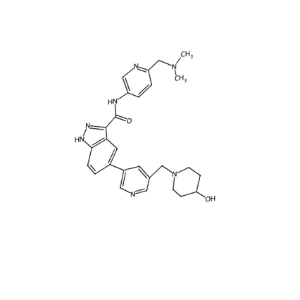 CN(C)Cc1ccc(NC(=O)c2n[nH]c3ccc(-c4cncc(CN5CCC(O)CC5)c4)cc23)cn1